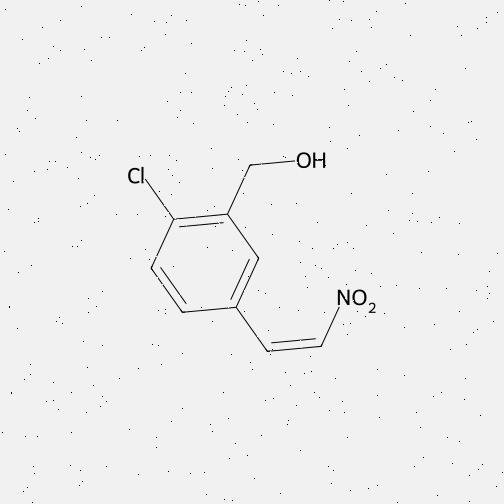 O=[N+]([O-])/C=C\c1ccc(Cl)c(CO)c1